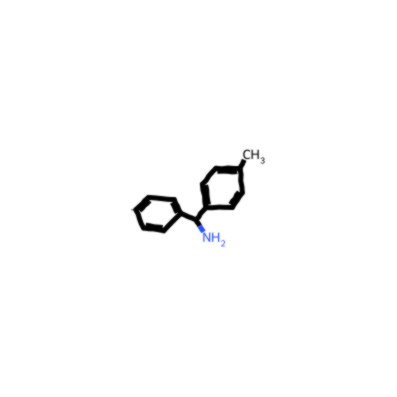 Cc1ccc(C(N)c2cc[c]cc2)cc1